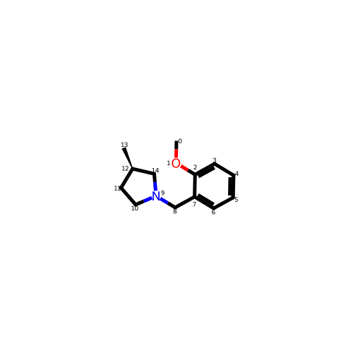 COc1ccccc1CN1CC[C@@H](C)C1